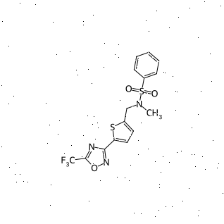 CN(Cc1ccc(-c2noc(C(F)(F)F)n2)s1)S(=O)(=O)c1ccccc1